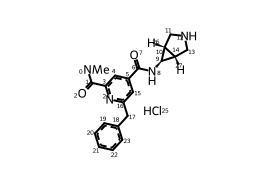 CNC(=O)c1cc(C(=O)N[C@H]2[C@@H]3CNC[C@@H]32)cc(Cc2ccccc2)n1.Cl